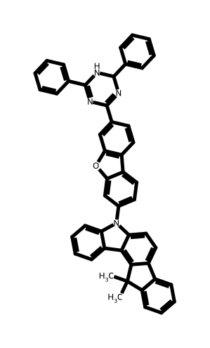 CC1(C)c2ccccc2-c2ccc3c(c21)c1ccccc1n3-c1ccc2c(c1)oc1cc(C3=NC(c4ccccc4)NC(c4ccccc4)=N3)ccc12